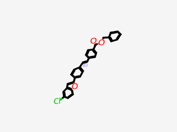 O=C(OCc1ccccc1)c1ccc(/C=C/c2ccc(-c3cc4cc(Cl)ccc4o3)cc2)cc1